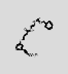 CCOC(=O)C#Cc1cncc(OCCCC(=O)NCCNC(=O)OCc2ccccc2)c1